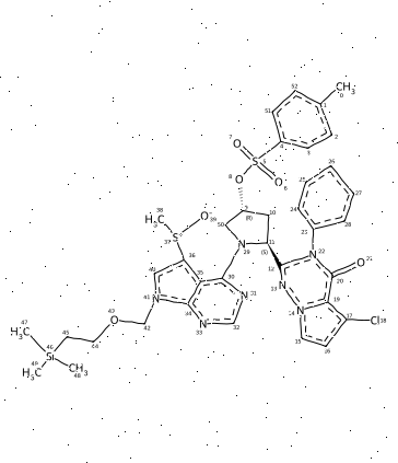 Cc1ccc(S(=O)(=O)O[C@@H]2C[C@@H](c3nn4ccc(Cl)c4c(=O)n3-c3ccccc3)N(c3ncnc4c3c([S+](C)[O-])cn4COCC[Si](C)(C)C)C2)cc1